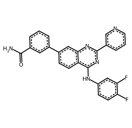 NC(=O)c1cccc(-c2ccc3c(Nc4ccc(F)c(F)c4)nc(-c4cccnc4)nc3c2)c1